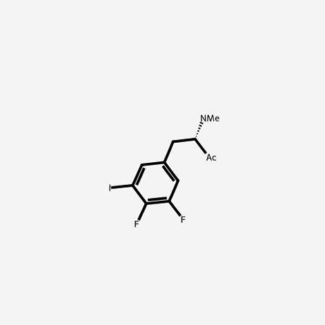 CN[C@@H](Cc1cc(F)c(F)c(I)c1)C(C)=O